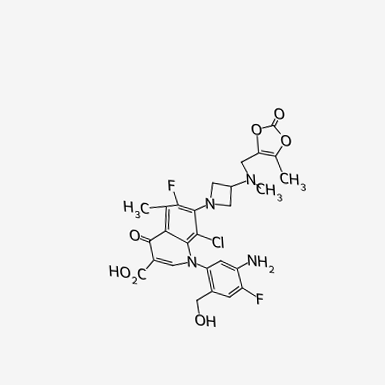 Cc1oc(=O)oc1CN(C)C1CN(c2c(F)c(C)c3c(=O)c(C(=O)O)cn(-c4cc(N)c(F)cc4CO)c3c2Cl)C1